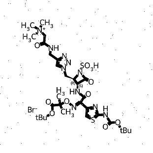 CC(C)(C)OC(=O)Nc1nc(C(=NOC(C)(C)C(=O)OC(C)(C)C)C(=O)N[C@@H]2C(=O)N(S(=O)(=O)O)[C@@H]2Cn2cc(CNC(=O)C[N+](C)(C)C)nn2)cs1.[Br-]